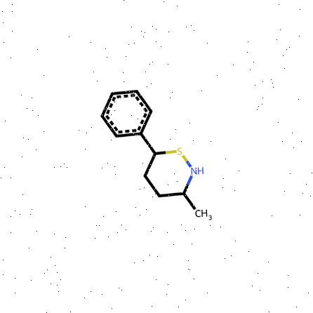 CC1CCC(c2ccccc2)SN1